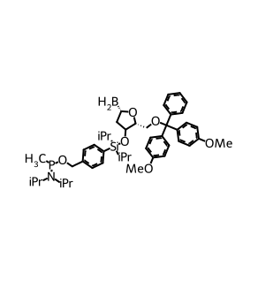 B[C@H]1CC(O[Si](c2ccc(COP(C)N(C(C)C)C(C)C)cc2)(C(C)C)C(C)C)[C@@H](COC(c2ccccc2)(c2ccc(OC)cc2)c2ccc(OC)cc2)O1